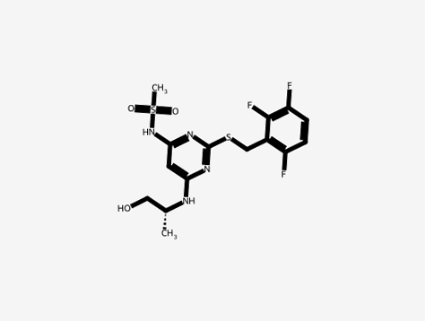 C[C@H](CO)Nc1cc(NS(C)(=O)=O)nc(SCc2c(F)ccc(F)c2F)n1